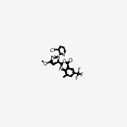 COc1cc(-c2nc3c(C)cc(C(F)(F)F)cc3c(=O)o2)n(-c2ncccc2Cl)n1